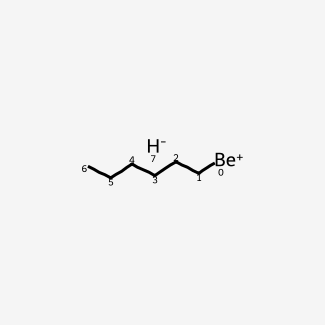 [Be+][CH2]CCCCC.[H-]